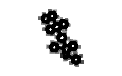 C1=C(c2c3ccccc3c(-c3cccc4ccccc34)c3ccccc23)CCC(c2c(-c3ccccc3)c3scc(-c4ccccc4)c3c3ccccc23)=C1